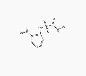 CC(C)NC(=O)S(=O)(=O)Nc1cnccc1NC(C)C